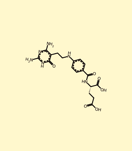 Nc1nc(N)c(CCNc2ccc(C(=O)N[C@@H](CCC(=O)O)C(=O)O)cc2)c(=O)[nH]1